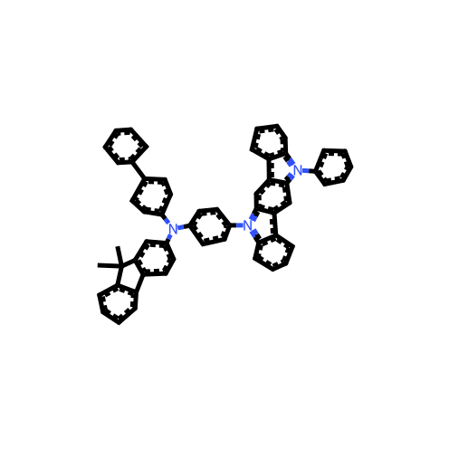 CC1(C)c2ccccc2-c2ccc(N(c3ccc(-c4ccccc4)cc3)c3ccc(-n4c5ccccc5c5cc6c(cc54)c4ccccc4n6-c4ccccc4)cc3)cc21